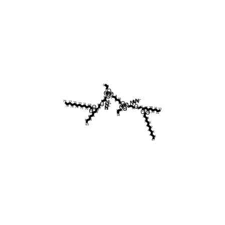 C=CCOP(=O)(OCCCCCOP(=O)(OCC=C)OCC(COCC[C@@H](CCCCCCC)OC(=O)CCCCCCCCCCC)N=[N+]=[N-])OCC(COCC[C@@H](CCCCCCC)OC(=O)CCCCCCCCCCC)N=[N+]=[N-]